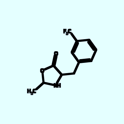 CC1NC(Cc2cccc(C(F)(F)F)c2)C(=O)O1